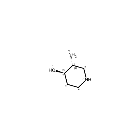 N[C@@H]1CNCC[C@H]1O